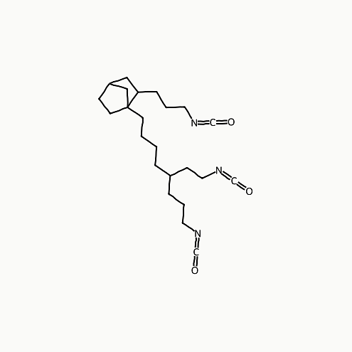 O=C=NCCCC(CCCCC12CCC(CC1CCCN=C=O)C2)CCN=C=O